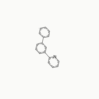 [c]1cccc(-c2cccc(-c3ccccn3)c2)c1